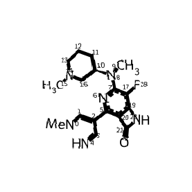 CN/C=C(\C=N)c1nc(N(C)[C@@H]2CCCN(C)C2)c(F)c2c1C(=O)N2